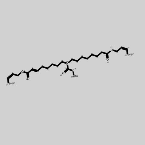 CCCCCC/C=C\COC(=O)/C=C/CCCCCN(CCCCCCCC(=O)OC/C=C\CCCCCC)C(=O)OC(C)(C)C